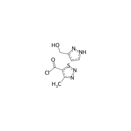 Cc1nnsc1C(=O)Cl.OCc1cc[nH]n1